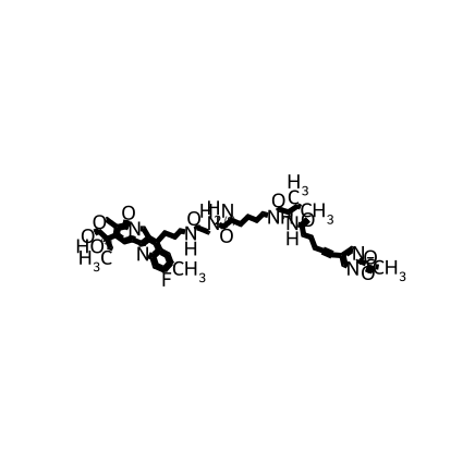 CC[C@@]1(O)C(=O)OCc2c1cc1n(c2=O)Cc2c-1nc1cc(F)c(C)cc1c2CCCNC(=O)CNC(=O)[C@@H](N)CCCCNC(=O)[C@@H](NC(=O)CCCC#Cc1cnc(S(C)(=O)=O)nc1)C(C)C